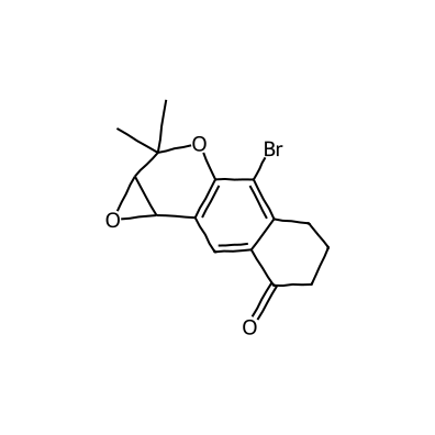 CC1(C)Oc2c(cc3c(c2Br)CCCC3=O)C2OC21